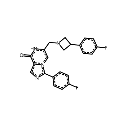 O=c1[nH]c(CN2CC(c3ccc(F)cc3)C2)cn2c(-c3ccc(F)cc3)ncc12